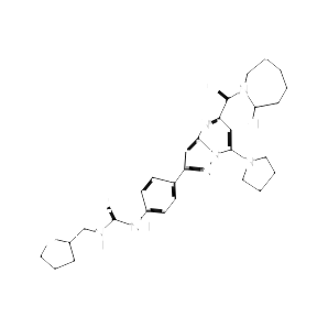 CC1CCCCCN1C(=O)c1cc(N2CCCC2)n2nc(-c3ccc(NC(=O)NCC4CCCO4)cc3)cc2n1